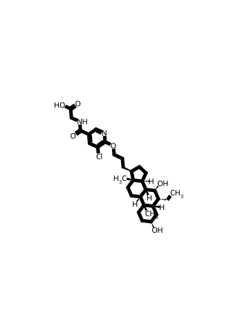 CC[C@H]1[C@@H](O)[C@@H]2[C@H](CC[C@]3(C)[C@@H](CCCOc4ncc(C(=O)NCC(=O)O)cc4Cl)CC[C@@H]23)[C@@]2(C)CC[C@@H](O)C[C@@H]12